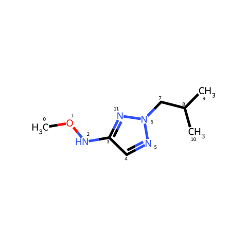 CONc1cnn(CC(C)C)n1